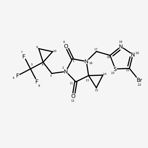 O=C1N(CC2(C(F)(F)F)CC2)C(=O)C2(CC2)N1Cc1nnc(Br)s1